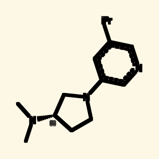 CC(C)c1cncc(N2CC[C@H](N(C)C)C2)c1